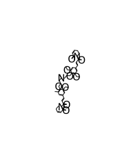 COc1cc(/C=C/C(=O)N2CCC=CC2=O)cc(C)c1OCCN(C)CCOc1c(OC)cc(/C=C/C(=O)N2CCC=CC2=O)cc1OC